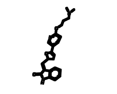 CN(C)CCCOc1ccc(C2=CCC(/C=C3/C(=O)Nc4ccccc43)O2)cn1